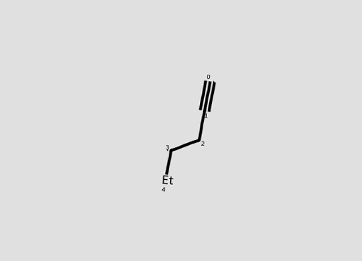 [C]#CC[CH]CC